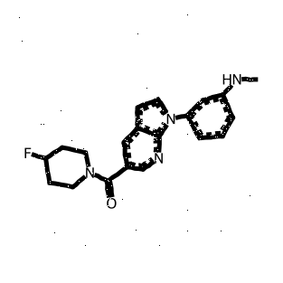 CNc1cccc(-n2ccc3cc(C(=O)N4CCC(F)CC4)cnc32)c1